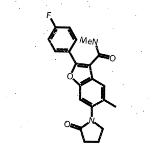 CNC(=O)c1c(-c2ccc(F)cc2)oc2cc(N3CCCC3=O)c(C)cc12